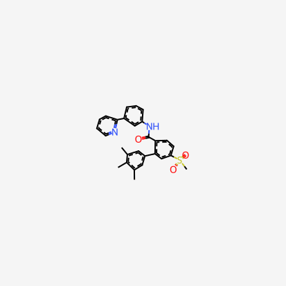 Cc1cc(-c2cc(S(C)(=O)=O)ccc2C(=O)Nc2cccc(-c3ccccn3)c2)cc(C)c1C